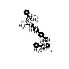 C[C@H](NOC[C@@H](c1ccccc1)N(C)C)c1ncc(-c2cnc(-c3ccc(-c4cnc([C@@H]5CCCN5C(=O)[C@@H](c5ccccc5)N(C)C)[nH]4)cc3)cn2)[nH]1